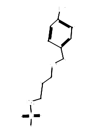 CS(=O)(=O)NCC[CH]OCc1ccc(F)cc1